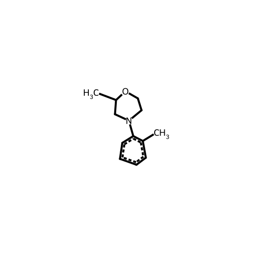 Cc1ccccc1N1CCOC(C)C1